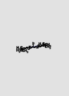 C[N+](C)(C)CCCO/N=C/C=C/C=N/OCCC[N+](C)(C)C.[I-].[I-]